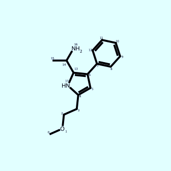 COCCc1cc(-c2ccccc2)c(C(C)N)[nH]1